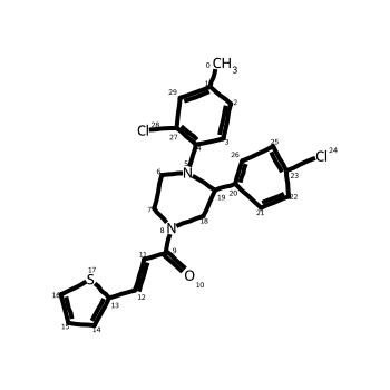 Cc1ccc(N2CCN(C(=O)/C=C/c3cccs3)CC2c2ccc(Cl)cc2)c(Cl)c1